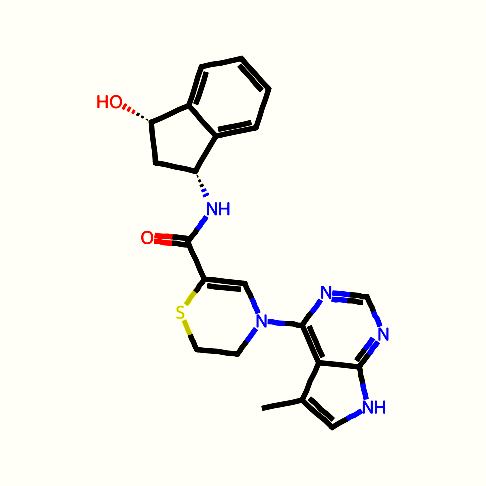 Cc1c[nH]c2ncnc(N3C=C(C(=O)N[C@@H]4C[C@H](O)c5ccccc54)SCC3)c12